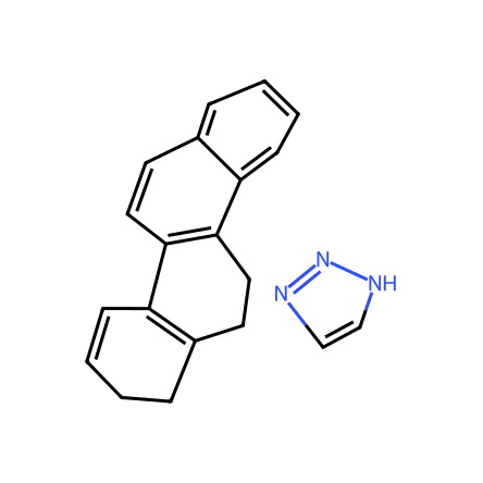 C1=CC2=C(CC1)CCc1c2ccc2ccccc12.c1c[nH]nn1